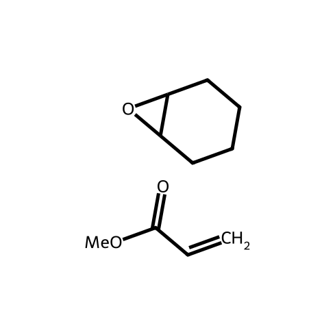 C1CCC2OC2C1.C=CC(=O)OC